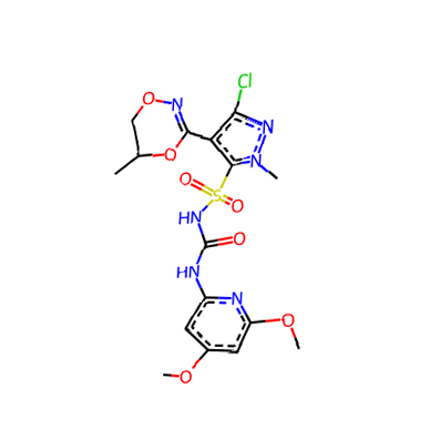 COc1cc(NC(=O)NS(=O)(=O)c2c(C3=NOCC(C)O3)c(Cl)nn2C)nc(OC)c1